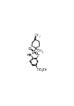 C=C1CCC(C)(S(=O)(=O)Nc2ccc(C(=O)OCC)cc2F)CC1